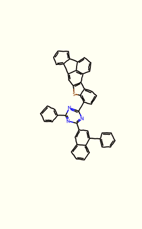 c1ccc(-c2nc(-c3cc(-c4ccccc4)c4ccccc4c3)nc(-c3cccc4c3sc3cc5c6c(cccc6c34)-c3ccccc3-5)n2)cc1